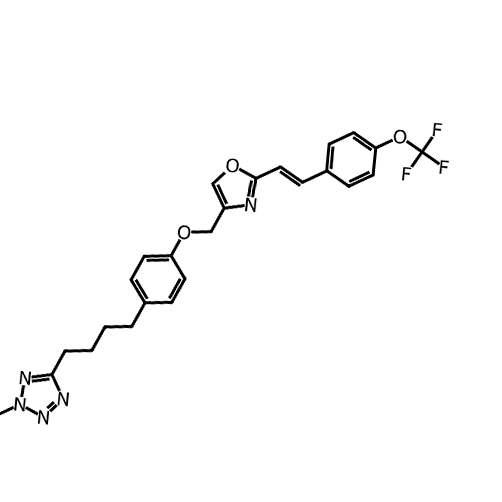 Cn1nnc(CCCCc2ccc(OCc3coc(C=Cc4ccc(OC(F)(F)F)cc4)n3)cc2)n1